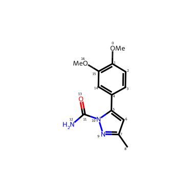 COc1ccc(-c2[c]c(C)nn2C(N)=O)cc1OC